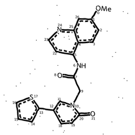 COc1ccc2c(NC(=O)Cn3cc(-c4cccs4)ccc3=O)ccnc2c1